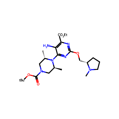 CCOC(=O)c1nc(OC[C@@H]2CCCN2C)nc(N2[C@@H](C)CN(C(=O)OC(C)(C)C)C[C@@H]2C)c1N